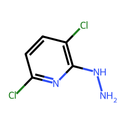 NNc1nc(Cl)ccc1Cl